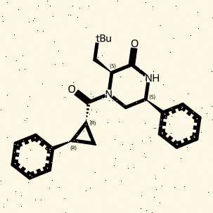 CC(C)(C)C[C@H]1C(=O)N[C@@H](c2ccccc2)CN1C(=O)[C@@H]1C[C@H]1c1ccccc1